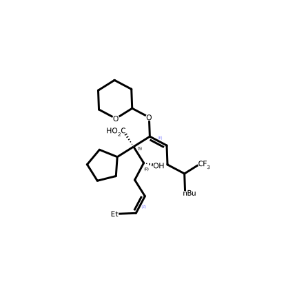 CC/C=C\C[C@@H](O)[C@](C(=O)O)(/C(=C\CC(CCCC)C(F)(F)F)OC1CCCCO1)C1CCCC1